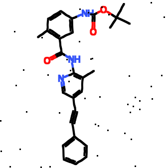 Cc1ccc(NC(=O)OC(C)(C)C)cc1C(=O)Nc1ncc(C#Cc2ccccc2)cc1C